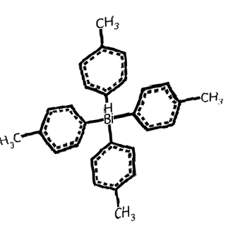 Cc1cc[c]([BiH]([c]2ccc(C)cc2)([c]2ccc(C)cc2)[c]2ccc(C)cc2)cc1